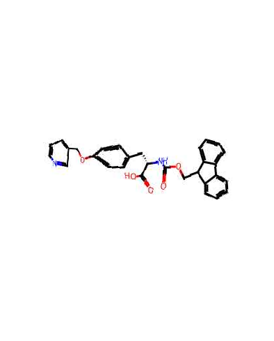 O=C(N[C@@H](Cc1ccc(OCc2cccnc2)cc1)C(=O)O)OCC1c2ccccc2-c2ccccc21